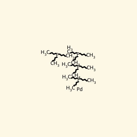 CCCCCP(CCCCC)CCCCC.CCCCCP(CCCCC)CCCCC.CCCCCP(CCCCC)CCCCC.CCCCCP(CCCCC)CCCCC.[Pd]